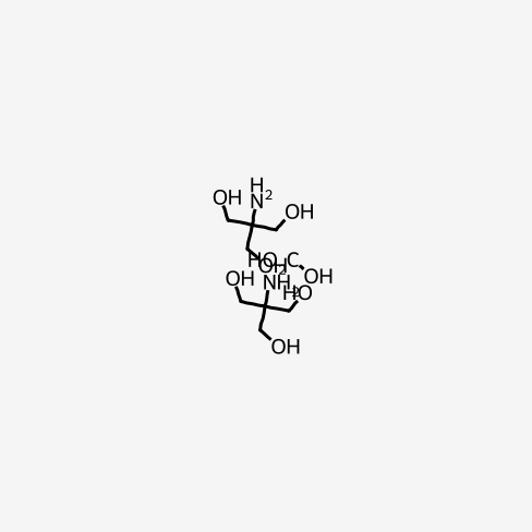 NC(CO)(CO)CO.NC(CO)(CO)CO.O=C(O)O